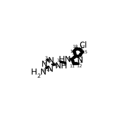 Nc1ncnc(NCCNc2ccnc3cc(Cl)ccc23)n1